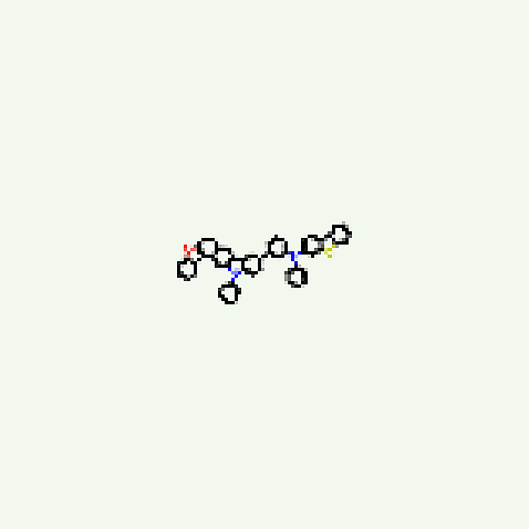 c1ccc(N(c2cccc(-c3ccc4c(c3)c3cc5ccc6oc7ccccc7c6c5cc3n4-c3ccccc3)c2)c2ccc3c(c2)sc2ccccc23)cc1